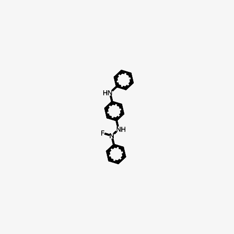 FN(Nc1ccc(Nc2ccccc2)cc1)c1ccccc1